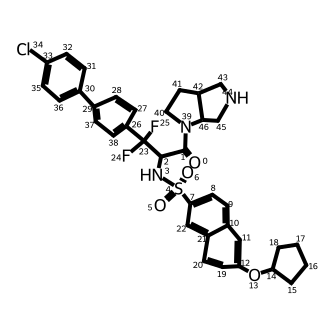 O=C(C(NS(=O)(=O)c1ccc2cc(OC3CCCC3)ccc2c1)C(F)(F)c1ccc(-c2ccc(Cl)cc2)cc1)N1CCC2CNCC21